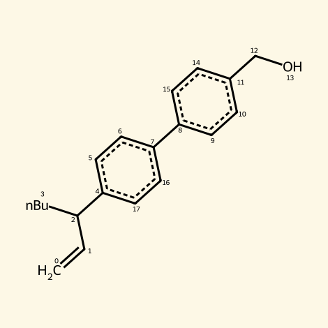 C=CC(CCCC)c1ccc(-c2ccc(CO)cc2)cc1